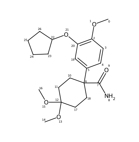 COc1ccc(C2(C(N)=O)CCC(OC)(OC)CC2)cc1OC1CCCC1